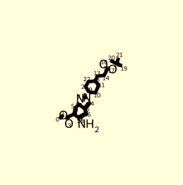 COC(=O)c1cc2nn(C3CCC(CCC(=O)OC(C)(C)C)CC3)cc2cc1N